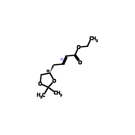 CCOC(=O)/C=C/C[C@H]1COC(C)(C)O1